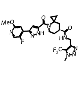 COc1cc(-c2cc(C(=O)N3CC[C@H](C(=O)NCc4nnn(C)c4C(F)(F)F)CC34CC4)[nH]n2)c(F)cn1